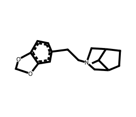 CC1C2CCC1CN(CCc1ccc3c(c1)OCO3)C2